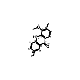 COc1c(C)cccc1Pc1ccc(C)cc1C=O